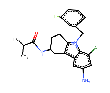 CC(C)C(=O)NC1CCc2c(c3cc(N)cc(Cl)c3n2Cc2cccc(F)c2)C1